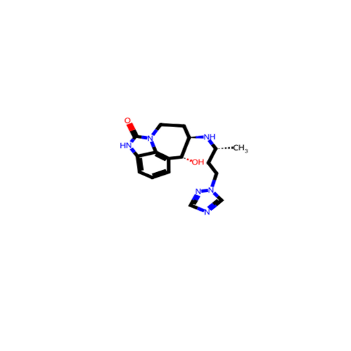 C[C@H](CCn1cncn1)N[C@@H]1CCn2c(=O)[nH]c3cccc(c32)[C@H]1O